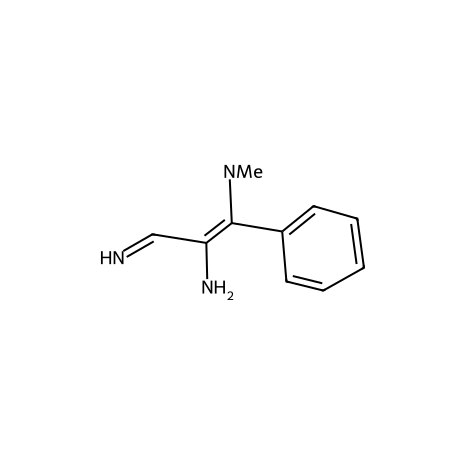 CN/C(=C(/N)C=N)c1ccccc1